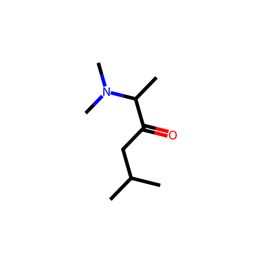 CC(C)CC(=O)C(C)N(C)C